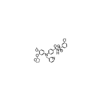 COc1ccc(N(Cc2cccnc2)c2ccc(C(=O)NS(=O)(=O)c3cccc(Cl)c3)cc2)cc1OC1CCCO1